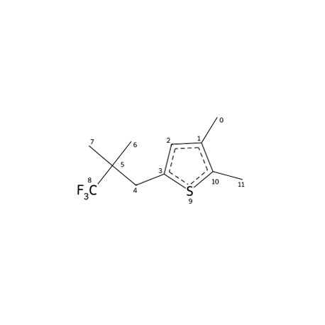 Cc1cc(CC(C)(C)C(F)(F)F)sc1C